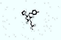 COC(=O)CCn1c(=O)nc(-n2cccn2)n(Cc2ccc(C)cc2)c1=O